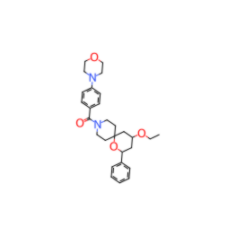 CCOC1CC(c2ccccc2)OC2(CCN(C(=O)c3ccc(N4CCOCC4)cc3)CC2)C1